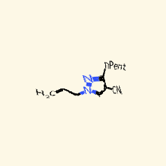 C=CCn1[c]c(C#N)c(CCCCC)n1